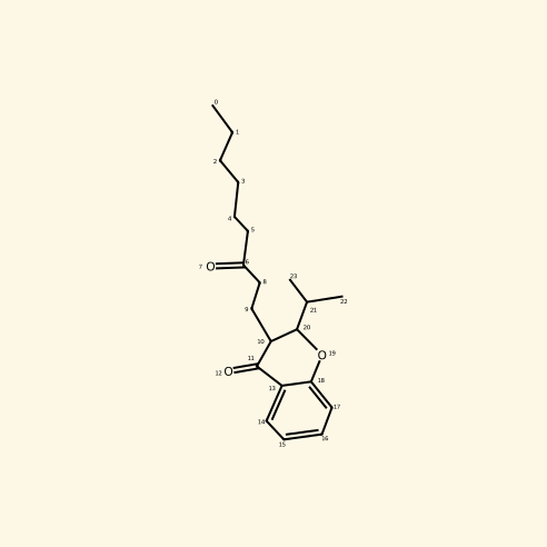 CCCCCCC(=O)CCC1C(=O)c2ccccc2OC1C(C)C